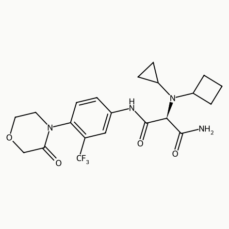 NC(=O)[C@@H](C(=O)Nc1ccc(N2CCOCC2=O)c(C(F)(F)F)c1)N(C1CCC1)C1CC1